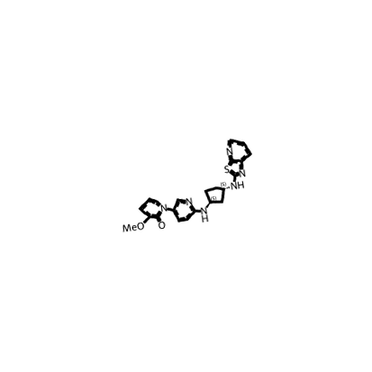 COc1cccn(-c2ccc(N[C@H]3CC[C@H](Nc4nc5cccnc5s4)C3)nc2)c1=O